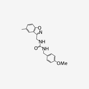 COc1ccc(CNC(=O)NCc2noc3ccc(C)cc23)cc1